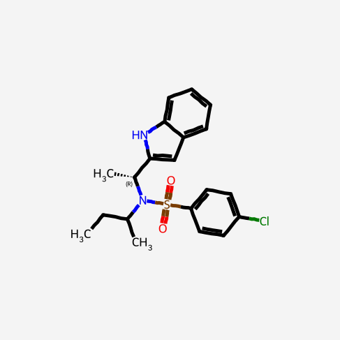 CCC(C)N([C@H](C)c1cc2ccccc2[nH]1)S(=O)(=O)c1ccc(Cl)cc1